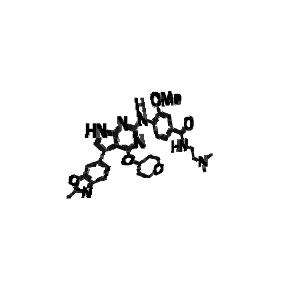 COc1cc(C(=O)NCCN(C)C)ccc1Nc1nc(OC2CCOCC2)c2c(-c3ccc4nc(C)oc4c3)c[nH]c2n1